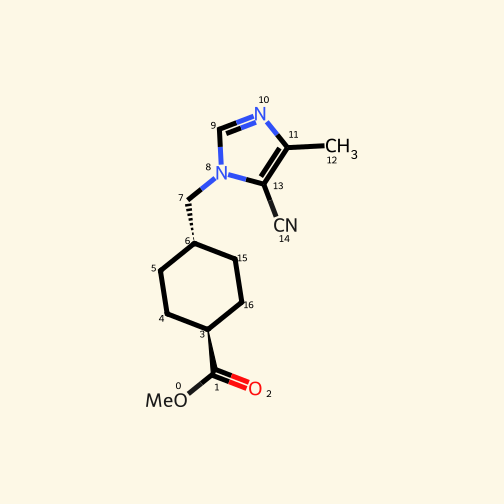 COC(=O)[C@H]1CC[C@H](Cn2cnc(C)c2C#N)CC1